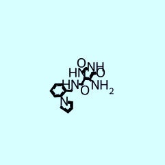 Nc1c(C(=O)NCc2ccccc2-n2cccc2)[nH]c(=O)[nH]c1=O